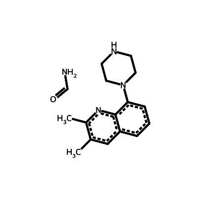 Cc1cc2cccc(N3CCNCC3)c2nc1C.NC=O